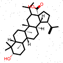 C=C(C)[C@@H]1CC[C@]2(C(=O)O)C(C(C)C)C[C@]3(C)[C@H](CC[C@@H]4[C@@]5(C)CC[C@H](O)C(C)(C)[C@@H]5CC[C@]43C)[C@@H]12